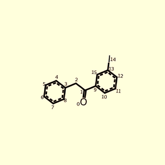 O=C(Cc1ccccc1)c1cccc(I)c1